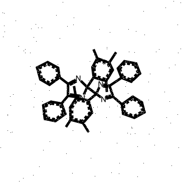 Cc1cc(C)c(C2(C3(c4cc(C)c(C)cc4C)N=C(c4ccccc4)C(c4ccccc4)=N3)N=C(c3ccccc3)C(c3ccccc3)=N2)cc1C